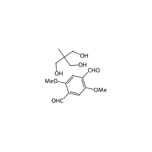 CC(CO)(CO)CO.COc1cc(C=O)c(OC)cc1C=O